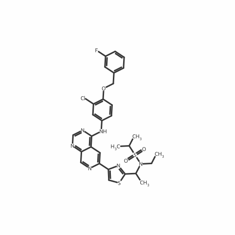 CCN(C(C)c1nc(-c2cc3c(Nc4ccc(OCc5cccc(F)c5)c(Cl)c4)ncnc3cn2)cs1)S(=O)(=O)C(C)C